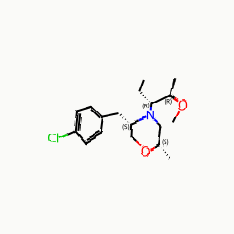 CC[C@H]([C@@H](C)OC)N1C[C@H](C)OC[C@@H]1Cc1ccc(Cl)cc1